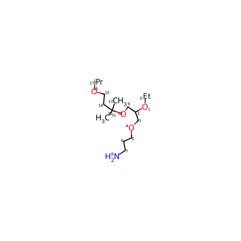 CCOC(COCCCN)COC(C)(C)CCOC(C)C